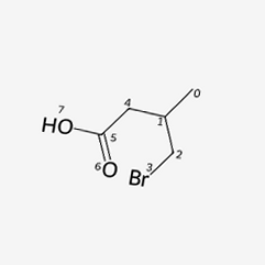 CC(CBr)CC(=O)O